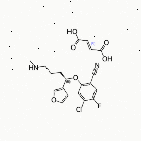 CNCCC[C@@H](Oc1cc(Cl)c(F)cc1C#N)c1ccoc1.O=C(O)/C=C/C(=O)O